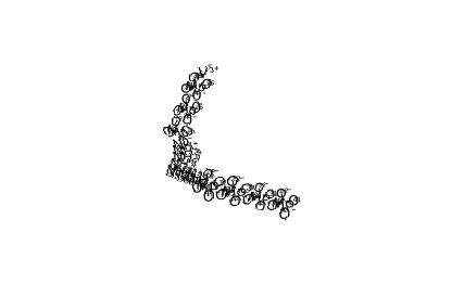 [NH4+].[NH4+].[NH4+].[NH4+].[NH4+].[NH4+].[NH4+].[NH4+].[NH4+].[O]=[Mo](=[O])([O-])[O-].[O]=[Mo](=[O])([O-])[O-].[O]=[Mo](=[O])([O-])[O-].[O]=[Mo](=[O])([O-])[O-].[O]=[Mo](=[O])([O-])[O-].[O]=[Mo](=[O])([O-])[O-].[O]=[Mo](=[O])([O-])[O-].[V+5]